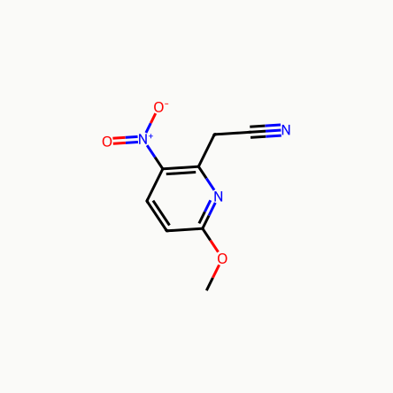 COc1ccc([N+](=O)[O-])c(CC#N)n1